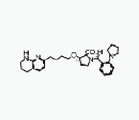 O=C(O)C(c1ccccc1N1CCCC1)N1CC[C@@H](OCCCCc2ccc3c(n2)NCCC3)C1